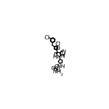 NS(=O)(=O)ON[C@@H]1CC[C@H](Nc2ncncc2C(=O)c2cc(Cc3cccc(Cl)c3)c(Cl)o2)C1